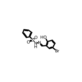 O=S(=O)(N/N=C/c1cc(Br)ccc1O)c1ccccc1